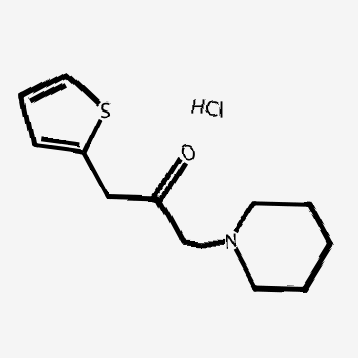 Cl.O=C(Cc1cccs1)CN1CCCCC1